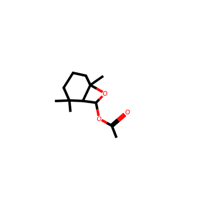 CC(=O)OC1OC2(C)CCCC(C)(C)C12